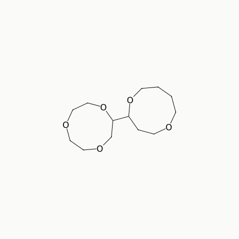 C1CCOC(C2COCCOCCO2)CCOC1